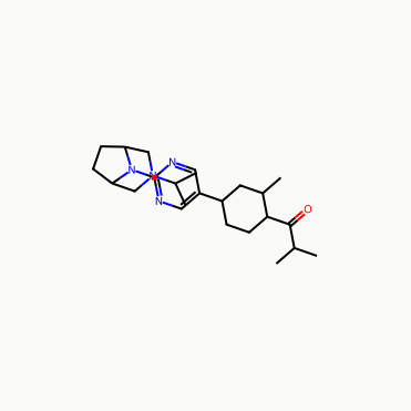 CC(C)C(=O)C1CCC(c2cnc(N3C4CCC3CN(C(C)C)C4)nc2)CC1C